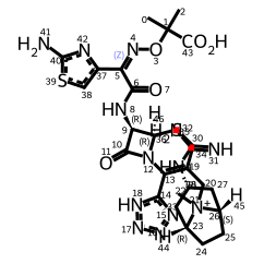 CC(C)(O/N=C(\C(=O)N[C@@H]1C(=O)N2C(c3nnn[nH]3)=C(C[N+]3(C)[C@@H]4CC[C@H]3C[C@@H](NC(=N)N)C4)CS[C@H]12)c1csc(N)n1)C(=O)O